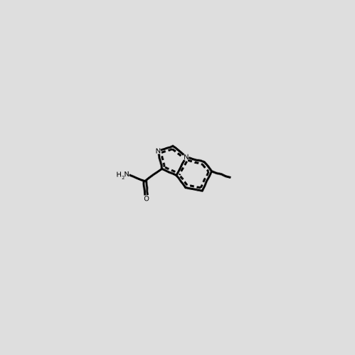 Cc1ccc2c(C(N)=O)ncn2c1